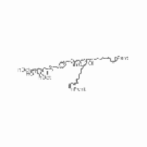 CCCCC/C=C\C/C=C\CCCCCC[C@@H](O)CN(CCCC(=O)OCCN1CCN(CCSSCCCCN(CC(O)CCCCCCCC)CC(O)CCCCCCCC)CC1)C[C@H](O)CCCCCC/C=C\C/C=C\CCCCC